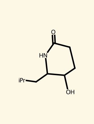 CC(C)CC1NC(=O)CCC1O